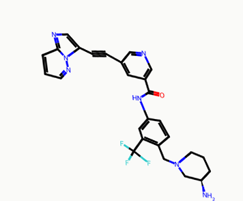 N[C@@H]1CCCN(Cc2ccc(NC(=O)c3cncc(C#Cc4cnc5cccnn45)c3)cc2C(F)(F)F)C1